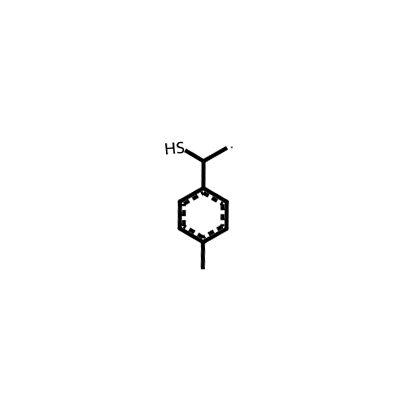 [CH2]C(S)c1ccc(C)cc1